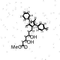 COC(=O)CC(O)CC(O)CCc1c(-c2ccc(F)cc2)c(C)n(-c2ccccc2)c1C